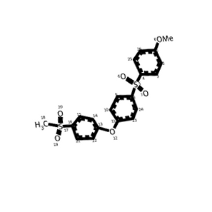 COc1ccc(S(=O)(=O)c2ccc(Oc3ccc(S(C)(=O)=O)cc3)cc2)cc1